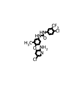 Cc1cc(NC(=O)Nc2ccc(Cl)c(C(F)(F)F)c2)ccc1Oc1cc(Cl)cnc1N